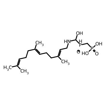 CC(C)=CCCC(C)=CCCC(C)=CCNC(O)[PH](=O)CP(=O)(O)O